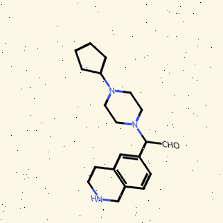 O=CC(c1ccc2c(c1)CCNC2)N1CCN(C2CCCC2)CC1